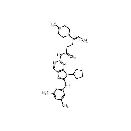 C=C(CC/C(=C\C)N1CCN(C)CC1)Nc1ncc2nc(Nc3cc(C)cc(C)c3)n(C3CCCC3)c2n1